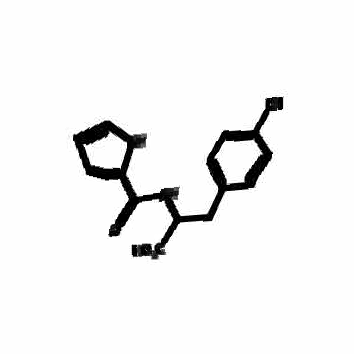 O=C(NC(Cc1ccc(O)cc1)C(=O)O)c1ccc[nH]1